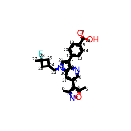 Cc1noc(C)c1-c1cnc2c(-c3ccc(C(=O)O)cc3)cn(CC3CC(C)(F)C3)c2c1